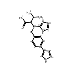 CC(C)C(C(=O)O)[C@H](Cc1ccc(-c2cn[nH]c2)cc1)c1nnn[nH]1